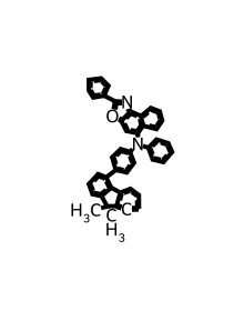 CC1(C)c2ccccc2-c2c(-c3ccc(N(c4ccccc4)c4cc5oc(-c6ccccc6)nc5c5ccccc45)cc3)cccc21